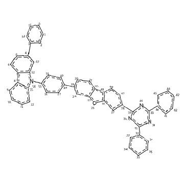 c1ccc(-c2ccc3c4ccccc4n(-c4ccc(-c5ccc6c(c5)oc5cc(-c7nc(-c8ccccc8)nc(-c8ccccc8)n7)ccc56)cc4)c3c2)cc1